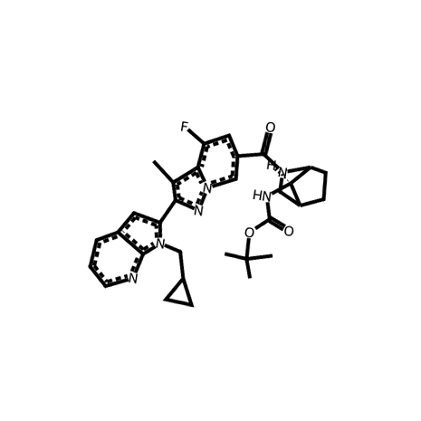 Cc1c(-c2cc3cccnc3n2CC2CC2)nn2cc(C(=O)N3CC4CCC3[C@@H]4NC(=O)OC(C)(C)C)cc(F)c12